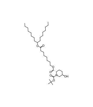 CCCCCCCCC(CCCCCCCC)OC(=O)CCCCCCCOC(=O)[C@@H]1CC[C@@H](O)CN1C(=O)OC(C)(C)C